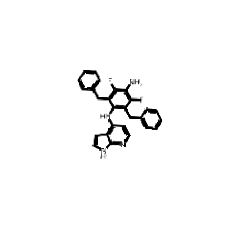 Nc1c(F)c(Cc2ccccc2)c(Nc2ccnc3[nH]ccc23)c(Cc2ccccc2)c1F